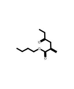 C=C(CC(=O)CC)C(=O)OCCCC